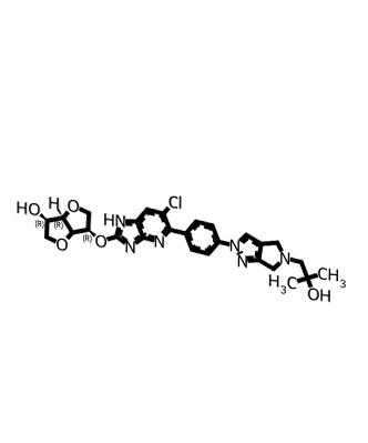 CC(C)(O)CN1Cc2cn(-c3ccc(-c4nc5nc(O[C@@H]6CO[C@H]7C6OC[C@H]7O)[nH]c5cc4Cl)cc3)nc2C1